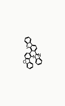 c1ccc2c(c1)nc1c3ccc4c5ccccc5sc4c3c3ccc4oc5ccccc5c4c3n21